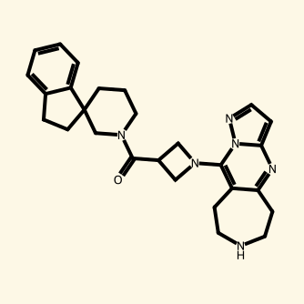 O=C(C1CN(c2c3c(nc4ccnn24)CCNCC3)C1)N1CCCC2(CCc3ccccc32)C1